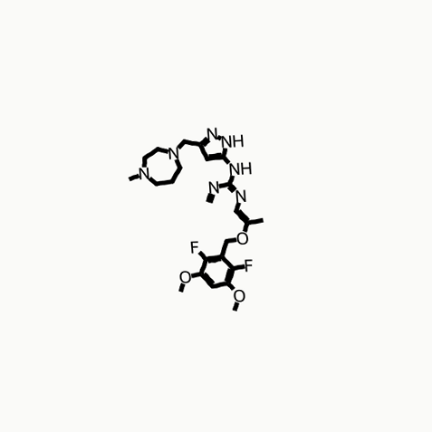 C=N/C(=N\C=C(/C)OCc1c(F)c(OC)cc(OC)c1F)Nc1cc(CN2CCCN(C)CC2)n[nH]1